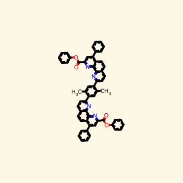 Cc1cc(-c2ccc3ccc4c(-c5ccccc5)cc(C(=O)Oc5ccccc5)nc4c3n2)c(C)cc1-c1ccc2ccc3c(-c4ccccc4)cc(C(=O)Oc4ccccc4)nc3c2n1